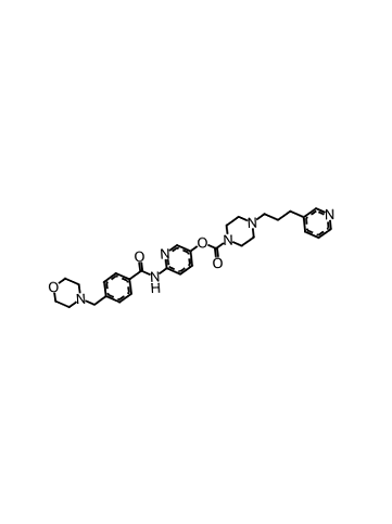 O=C(Nc1ccc(OC(=O)N2CCN(CCCc3cccnc3)CC2)cn1)c1ccc(CN2CCOCC2)cc1